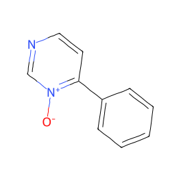 [O-][n+]1cnccc1-c1ccccc1